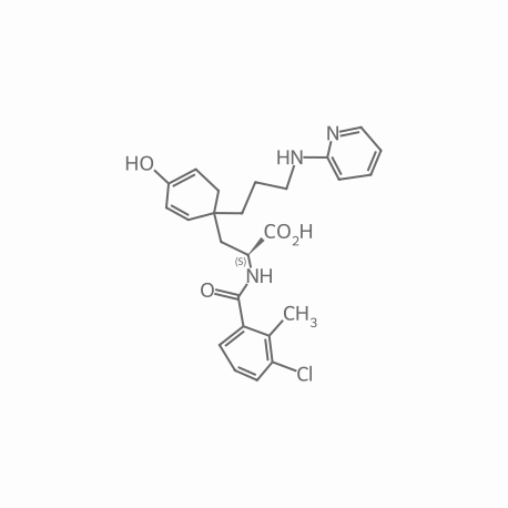 Cc1c(Cl)cccc1C(=O)N[C@@H](CC1(CCCNc2ccccn2)C=CC(O)=CC1)C(=O)O